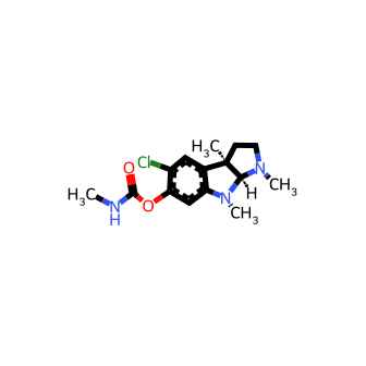 CNC(=O)Oc1cc2c(cc1Cl)[C@@]1(C)CCN(C)[C@H]1N2C